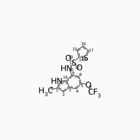 Cc1cc2cc(OC(F)(F)F)cc(NS(=O)(=O)c3cccs3)c2[nH]1